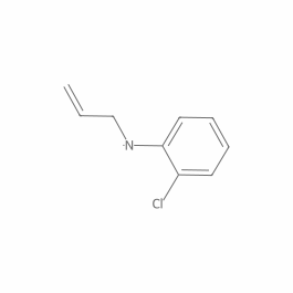 C=CC[N]c1ccccc1Cl